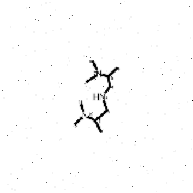 CC(CNCC(C)N(C)C)N(C)C